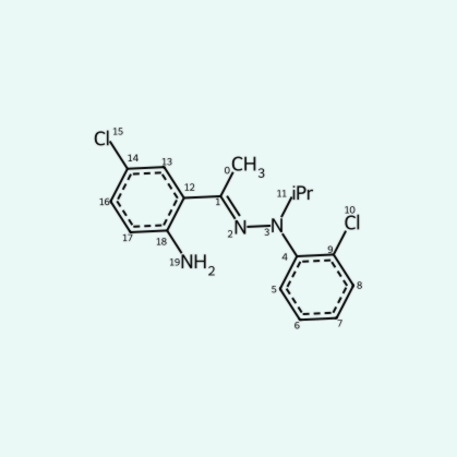 C/C(=N\N(c1ccccc1Cl)C(C)C)c1cc(Cl)ccc1N